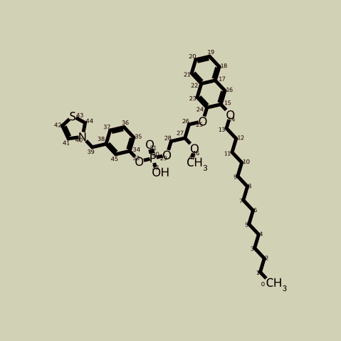 CCCCCCCCCCCCCCOc1cc2ccccc2cc1OCC(COP(=O)(O)Oc1cccc(CN2C=CSC2)c1)OC